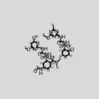 COc1cc(OC)nc(NC(=O)NS(=O)(=O)c2cc(NC=O)ccc2C(=O)N(C)C)n1.COc1nc(C)nc(NC(=O)NS(=O)(=O)c2ccccc2Cl)n1